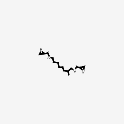 CC(CCCCCCOCC1CO1)COCC1CO1